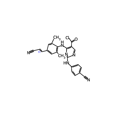 Cc1cc(/C=C/C#N)cc(C)c1Nc1nc(Nc2ccc(C#N)cc2)ncc1C(=O)Cl